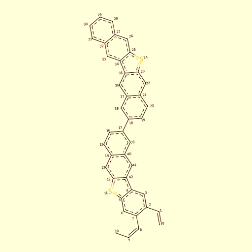 C=Cc1cc2c(cc1/C=C\C)sc1cc3ccc(-c4ccc5cc6sc7cc8ccccc8cc7c6cc5c4)cc3cc12